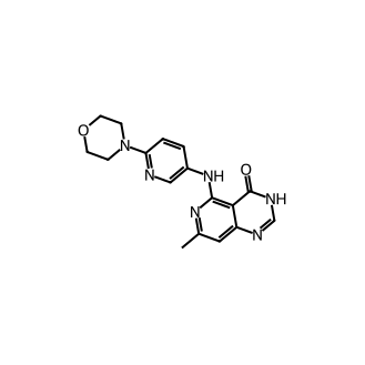 Cc1cc2nc[nH]c(=O)c2c(Nc2ccc(N3CCOCC3)nc2)n1